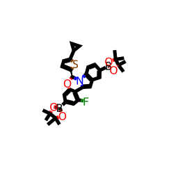 CC1(C)OB(c2cc(F)c3c(c2)O[C@@H](c2ccc(C4CC4)s2)n2c-3cc3cc(B4OC(C)(C)C(C)(C)O4)ccc32)OC1(C)C